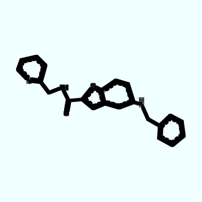 O=C(NCc1ccccn1)c1cc2cc(NCc3ccccc3)ccc2o1